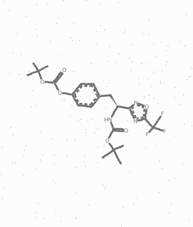 CC(C)(C)OC(=O)N[C@@H](Cc1ccc(OC(=O)OC(C)(C)C)cc1)c1noc(C(F)(F)F)n1